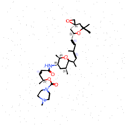 CC(/C=C/[C@@H]1C[C@]2(CO2)CC(C)(C)O1)=C\C(C)C1O[C@H](C)[C@H](NC(=O)/C=C\[C@H](C)OC(=O)N2CCN(C)CC2)C[C@@H]1C